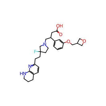 O=C(O)CC(CN1CCC(F)(CCc2ccc3c(n2)NCCC3)C1)c1cccc(OCC2COC2)c1